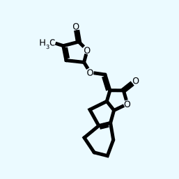 CC1=CC(O/C=C2/C(=O)OC3C4=C(CCCC4)CC23)OC1=O